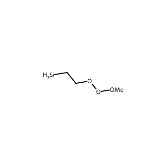 COOOCC[SiH3]